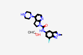 Cn1cc2cc(NC(=O)N3CCc4c(N5CCNCC5)ccnc43)cc(F)c2n1.O=CO